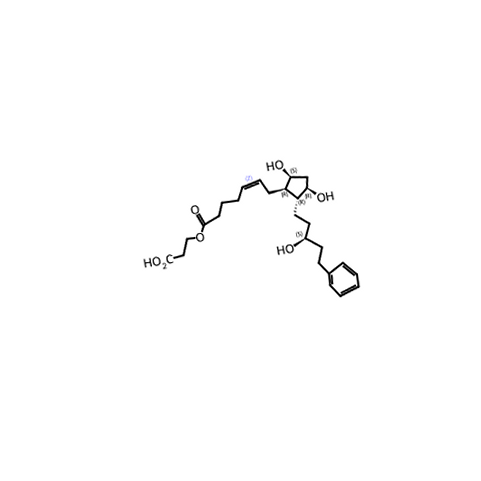 O=C(O)CCOC(=O)CCC/C=C\C[C@@H]1[C@@H](CC[C@H](O)CCc2ccccc2)[C@H](O)C[C@@H]1O